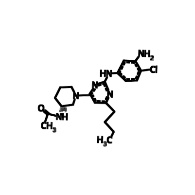 CCCCc1cc(N2CCC[C@@H](NC(C)=O)C2)nc(Nc2ccc(Cl)c(N)c2)n1